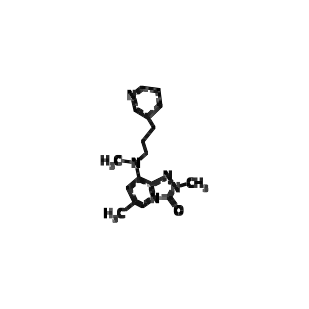 Cc1cc(N(C)CCCc2cccnc2)c2nn(C)c(=O)n2c1